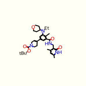 CCN(c1cc(C2=CCN(C(=O)OC(C)(C)C)CC2)cc(C(=O)NCc2c(C)cc(C)[nH]c2=O)c1C)C1CCOCC1